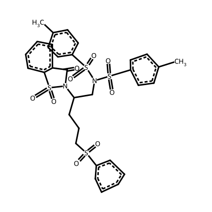 Cc1ccc(S(=O)(=O)N(CC(CCCS(=O)(=O)c2ccccc2)N2C(=O)c3ccccc3S2(=O)=O)S(=O)(=O)c2ccc(C)cc2)cc1